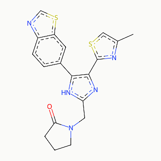 Cc1csc(-c2nc(CN3CCCC3=O)[nH]c2-c2ccc3ncsc3c2)n1